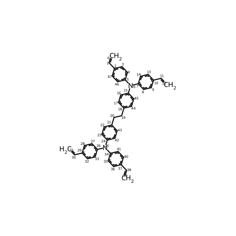 C=Cc1ccc(N(c2ccc(C=C)cc2)c2ccc(CCc3ccc(N(c4ccc(C=C)cc4)c4ccc(C=C)cc4)cc3)cc2)cc1